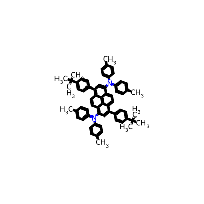 Cc1ccc(N(c2ccc(C)cc2)c2cc(-c3ccc(C(C)(C)C)cc3)c3ccc4c(N(c5ccc(C)cc5)c5ccc(C)cc5)cc(-c5ccc(C(C)(C)C)cc5)c5ccc2c3c54)cc1